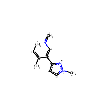 C=N/C=C(\C(C)=C/C)c1ccn(C)n1